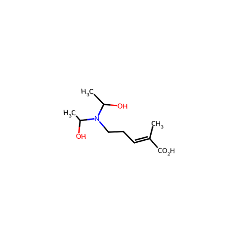 CC(=CCCN(C(C)O)C(C)O)C(=O)O